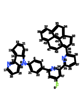 Fc1cc(-c2ccc(-n3c4ccccc4c4ncccc43)cc2)nc(-c2cccc(-c3ccc4ccc5cccc6ccc3c4c56)n2)c1